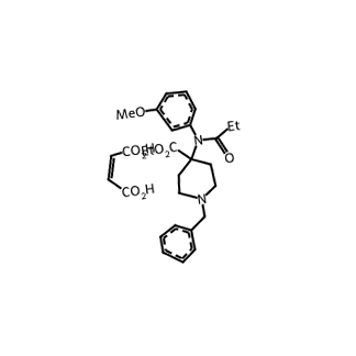 CCOC(=O)C1(N(C(=O)CC)c2cccc(OC)c2)CCN(Cc2ccccc2)CC1.O=C(O)/C=C\C(=O)O